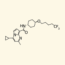 Cc1cc(C2CC2)n2ccc(C(=O)N[C@H]3CC[C@H](OCCCCC(F)(F)F)CC3)c2n1